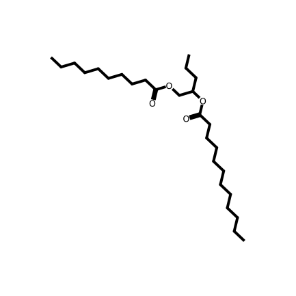 CCCCCCCCCCCC(=O)OC(CCC)COC(=O)CCCCCCCCC